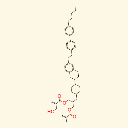 C=C(C)C(=O)OCC(COC(=O)C(=C)CO)CC1CCC(C2CCc3cc(CCc4ccc(-c5ccc(CCCCC)cc5)cc4)ccc3C2)CC1